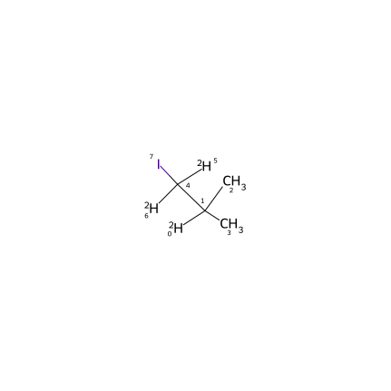 [2H]C(C)(C)C([2H])([2H])I